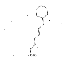 O=[C]CCCCCCC1CCCCC1